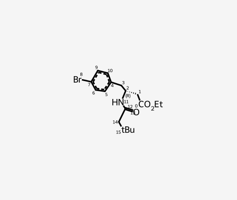 CCOC(=O)C[C@@H](Cc1ccc(Br)cc1)NC(=O)CC(C)(C)C